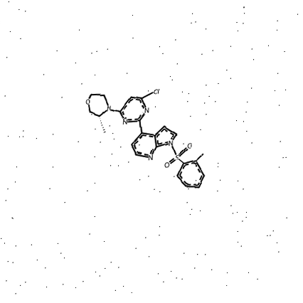 Cc1ccccc1S(=O)(=O)n1ccc2c(-c3nc(Cl)cc(N4CCOC[C@H]4C)n3)ccnc21